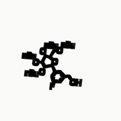 CCCCOC[C@H]1O[C@@H](c2cc(F)cc(CO)c2)[C@H](OCCCC)[C@@H](OCCCC)[C@@H]1OCCCC